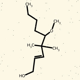 CCCCC(OC)C(C)(C)/C=C/CO